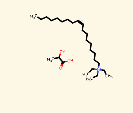 CC(O)C(=O)O.CCCCCCCC/C=C\CCCCCCCC[N+](CC)(CC)CC